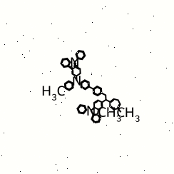 CC1=CCC=C(C(Cc2ccc(-c3ccc(N(c4ccc(C)cc4)C4C=c5c(n(-c6ccccc6)c6ccccc56)=CC4)cc3)cc2)C2=CC3(C)c4ccccc4N(c4ccccc4)C3C=C2)C=C1